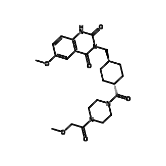 COCC(=O)N1CCN(C(=O)[C@H]2CC[C@H](Cn3c(=O)[nH]c4ccc(OC)cc4c3=O)CC2)CC1